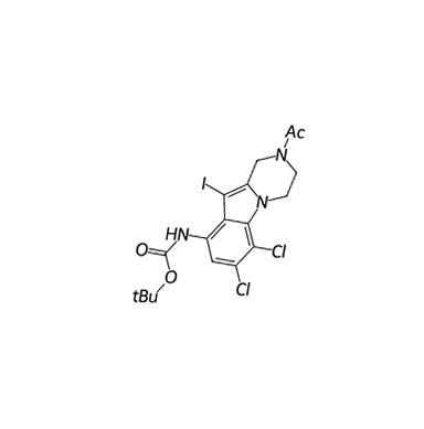 CC(=O)N1CCn2c(c(I)c3c(NC(=O)OC(C)(C)C)cc(Cl)c(Cl)c32)C1